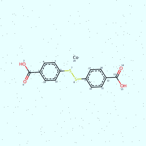 O=C(O)c1ccc(SSc2ccc(C(=O)O)cc2)cc1.[Co]